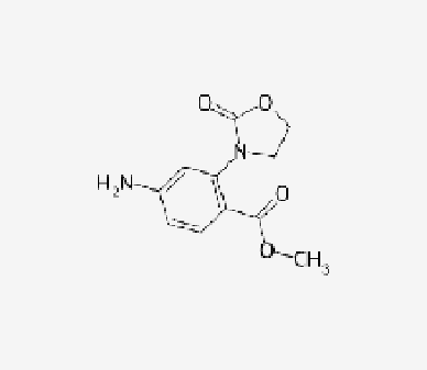 COC(=O)c1ccc(N)cc1N1CCOC1=O